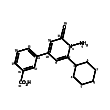 Nn1c(C2CCCCC2)cc(-c2cccc(C(=O)O)c2)cc1=O